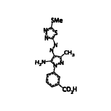 CSc1nnc(/N=N/c2c(C)nn(-c3cccc(C(=O)O)c3)c2N)s1